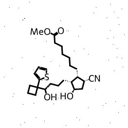 COC(=O)CCCCCC[C@H]1[C@@H](CCCC(O)C2(c3cccs3)CCC2)[C@H](O)C[C@H]1C#N